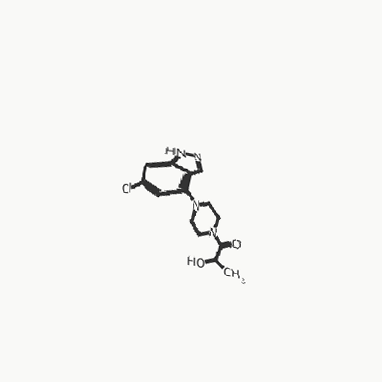 CC(O)C(=O)N1CCN(c2cc(Cl)cc3[nH]ncc23)CC1